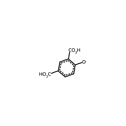 [O]c1ccc(C(=O)O)cc1C(=O)O